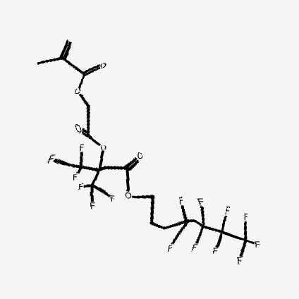 C=C(C)C(=O)OCC(=O)OC(C(=O)OCCC(F)(F)C(F)(F)C(F)(F)C(F)(F)F)(C(F)(F)F)C(F)(F)F